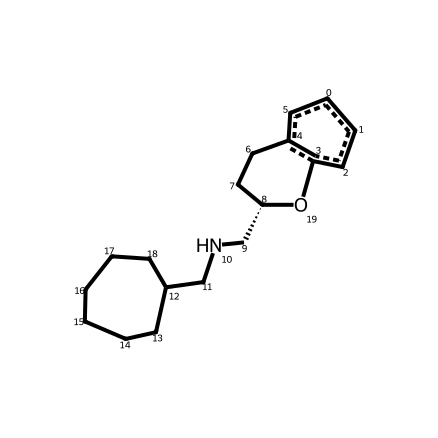 c1ccc2c(c1)CC[C@@H](CNCC1CCCCCC1)O2